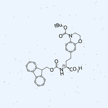 CC(C)(C)OC(=O)N1CCOc2cc(CC[C@H](NC(=O)OCC3c4ccccc4-c4ccccc43)C(=O)O)ccc21